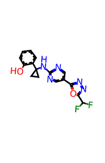 Oc1ccccc1C1(Nc2ncc(-c3nnc(C(F)F)o3)cn2)CC1